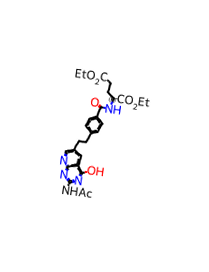 CCOC(=O)CC[C@@H](NC(=O)c1ccc(CCc2cnc3nc(NC(C)=O)nc(O)c3c2)cc1)C(=O)OCC